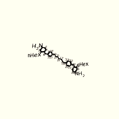 CCCCCCc1cc(N)ccc1Cc1ccc(CCCCCCc2ccc(Cc3ccc(N)cc3CCCCCC)cc2)cc1